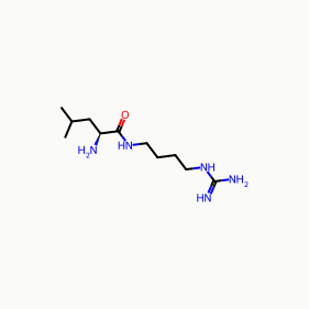 CC(C)C[C@H](N)C(=O)NCCCCNC(=N)N